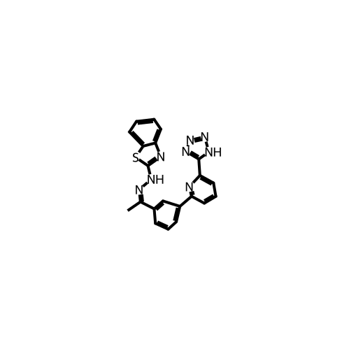 C/C(=N/Nc1nc2ccccc2s1)c1cccc(-c2cccc(-c3nnn[nH]3)n2)c1